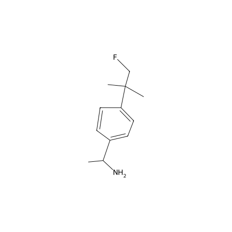 CC(N)c1ccc(C(C)(C)CF)cc1